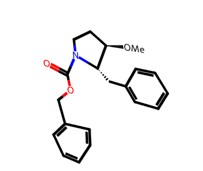 CO[C@@H]1CCN(C(=O)OCc2ccccc2)[C@H]1Cc1ccccc1